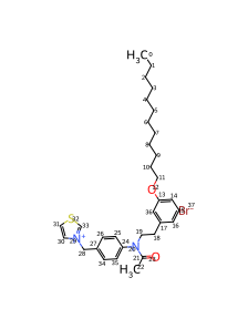 CCCCCCCCCCCCOc1cccc(CCN(C(C)=O)c2ccc(C[n+]3ccsc3)cc2)c1.[Br-]